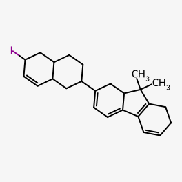 CC1(C)C2=C(C=CCC2)C2=CC=C(C3CCC4CC(I)C=CC4C3)CC21